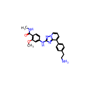 CNC(=O)c1ccc(Nc2nc3c(-c4ccc(CCN)cc4)cccn3n2)cc1OC